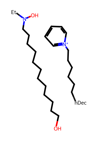 CCCCCCCCCCCCCCCC[n+]1ccccc1.CCN(O)CCCCCCCCCCCCO